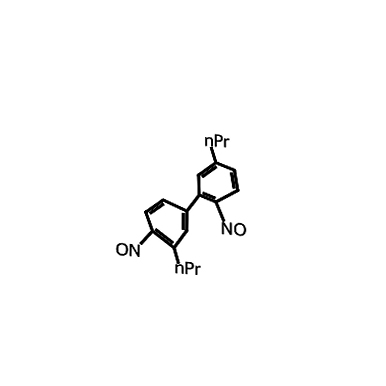 CCCc1ccc(N=O)c(-c2ccc(N=O)c(CCC)c2)c1